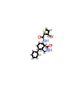 O=C(Nc1ccc(-c2ccccc2)c2c1C(=O)NC2)c1sccc1Br